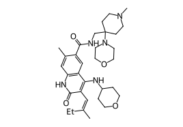 CC/C(C)=C\c1c(NC2CCOCC2)c2cc(C(=O)NCC3(N4CCOCC4)CCN(C)CC3)c(C)cc2[nH]c1=O